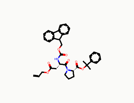 C=CCOC(=O)C[C@H](NC(=O)OCC1c2ccccc2-c2ccccc21)C(=O)N1CCC[C@H]1C(=O)OC(C)(C)c1ccccc1